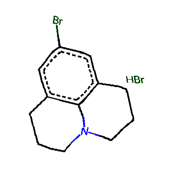 Br.Brc1cc2c3c(c1)CCCN3CCC2